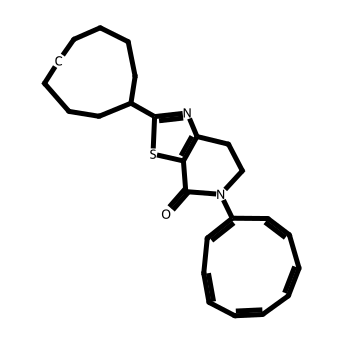 O=C1c2sc(C3CCCCCCCC3)nc2CCN1c1ccccccccc1